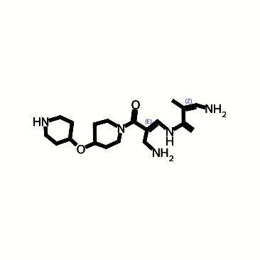 C=C(N/C=C(\CN)C(=O)N1CCC(OC2CCNCC2)CC1)/C(C)=C\N